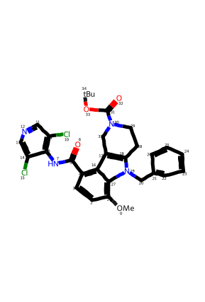 COc1ccc(C(=O)Nc2c(Cl)cncc2Cl)c2c3c(n(Cc4ccccc4)c12)CCN(C(=O)OC(C)(C)C)C3